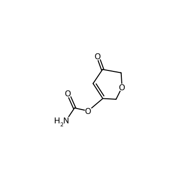 NC(=O)OC1=CC(=O)COC1